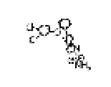 NS(=O)(=O)c1nn2cc(-c3ccccc3Oc3ccc(Cl)c(Cl)c3)nc2s1